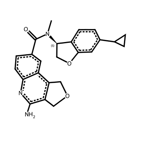 CN(C(=O)c1ccc2nc(N)c3c(c2c1)COC3)[C@@H]1COc2cc(C3CC3)ccc21